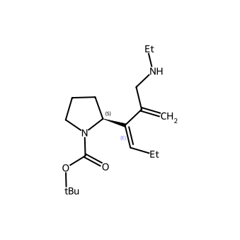 C=C(CNCC)/C(=C\CC)[C@@H]1CCCN1C(=O)OC(C)(C)C